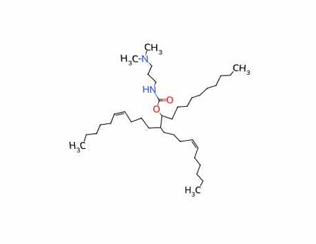 CCCCC/C=C\CCCC(CCC/C=C\CCCCC)C(CCCCCCCCCC)OC(=O)NCCCN(C)C